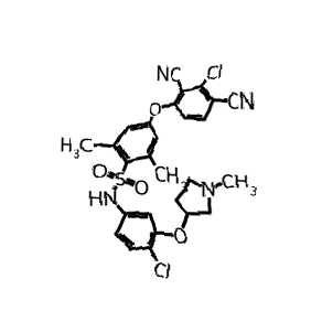 Cc1cc(Oc2ccc(C#N)c(Cl)c2C#N)cc(C)c1S(=O)(=O)Nc1ccc(Cl)c(OC2CCN(C)C2)c1